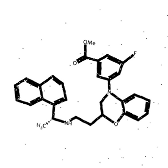 COC(=O)c1cc(F)cc(N2CC(CCN[C@H](C)c3cccc4ccccc34)Oc3ccccc32)c1